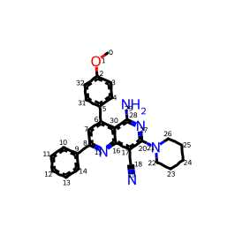 COc1ccc(-c2cc(-c3ccccc3)nc3c(C#N)c(N4CCCCC4)nc(N)c23)cc1